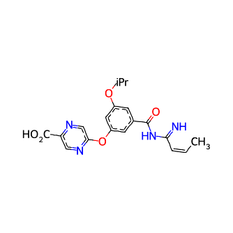 C/C=C\C(=N)NC(=O)c1cc(Oc2cnc(C(=O)O)cn2)cc(OC(C)C)c1